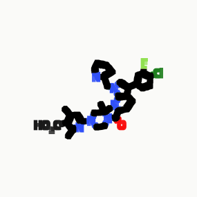 Cc1cc(N2CCN(C(=O)c3ccc4c(-c5ccc(Cl)c(F)c5)cn(Cc5ccccn5)c4n3)C(C)(C)C2)nc(C)c1C(=O)O